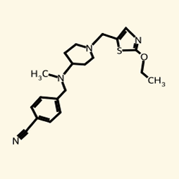 CCOc1ncc(CN2CCC(N(C)Cc3ccc(C#N)cc3)CC2)s1